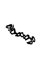 O=S(=O)(c1ccccc1)c1ccc(-c2ccc3c(c2)Cc2cc4ccc(-n5c6ccccc6c6ccccc65)cc4cc2C3)cc1